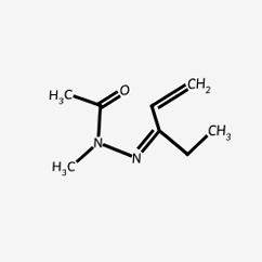 C=C/C(CC)=N\N(C)C(C)=O